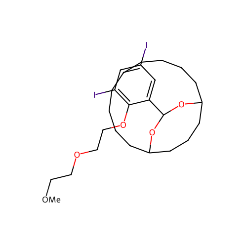 COCCOCCOc1c(I)cc(I)cc1C1OC2CCCCCCCCCC(CCC2)O1